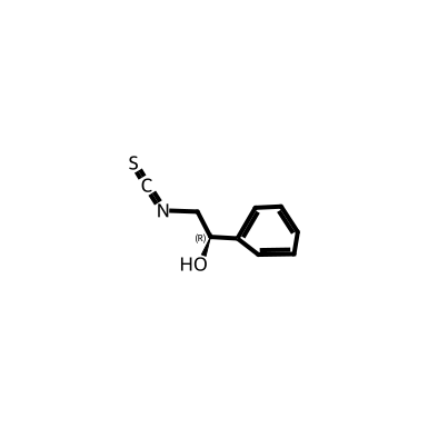 O[C@@H](CN=C=S)c1ccccc1